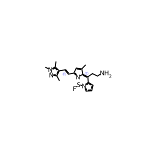 CC1=CC(/C=C/c2c(C)nn(C)c2C)=NC/1=C(/CCN)c1cccn1SF